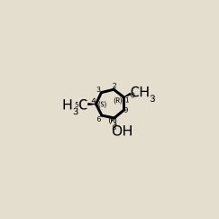 C[C@@H]1CC[C@H](C)C[C@@H](O)C1